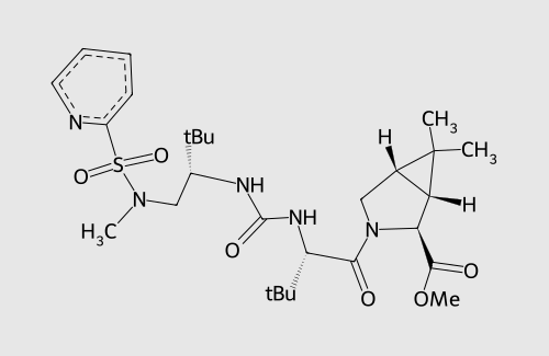 COC(=O)[C@@H]1[C@@H]2[C@H](CN1C(=O)[C@@H](NC(=O)N[C@H](CN(C)S(=O)(=O)c1ccccn1)C(C)(C)C)C(C)(C)C)C2(C)C